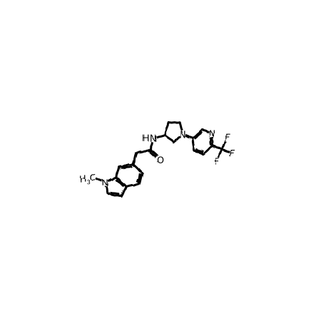 Cn1ccc2ccc(CC(=O)NC3CCN(c4ccc(C(F)(F)F)nc4)C3)cc21